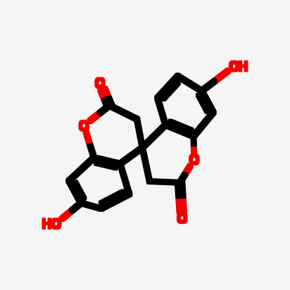 O=C1CC2(CC(=O)Oc3cc(O)ccc32)c2ccc(O)cc2O1